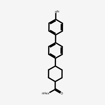 CCCCCCC(=O)C1CCC(c2ccc(-c3ccc(CCC)cc3)cc2)CC1